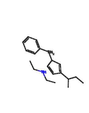 CCC(C)C1=C[C]([SiH2]c2ccccc2)C=C1.CCNCC